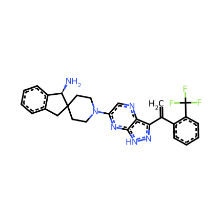 C=C(c1ccccc1C(F)(F)F)c1n[nH]c2nc(N3CCC4(CC3)Cc3ccccc3[C@H]4N)cnc12